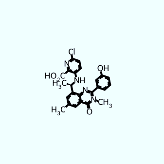 Cc1cc([C@@H](C)Nc2ccc(Cl)nc2C(=O)O)c2nc(-c3cccc(O)c3)n(C)c(=O)c2c1